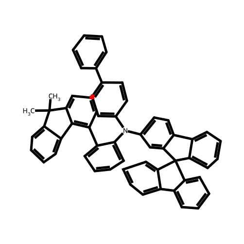 CC1(C)c2ccccc2-c2c(-c3ccccc3N(c3ccc(-c4ccccc4)cc3)c3ccc4c(c3)C3(c5ccccc5-c5ccccc53)c3ccccc3-4)cccc21